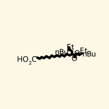 CCCCC(CC)COC(=O)C(CCCCCCCCCCCCCCC(=O)O)CC(CC)CCCC